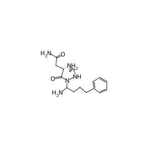 CC(C)NN(C(=O)[C@@H](N)CC(N)=O)C(N)CCCc1ccccc1